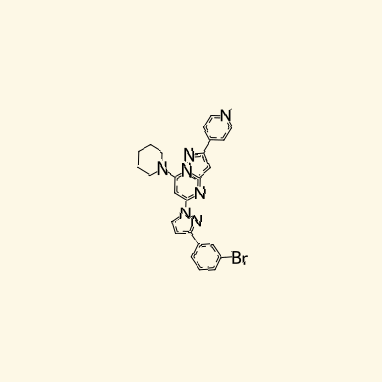 Brc1cccc(-c2ccn(-c3cc(N4CCCCC4)n4nc(-c5ccncc5)cc4n3)n2)c1